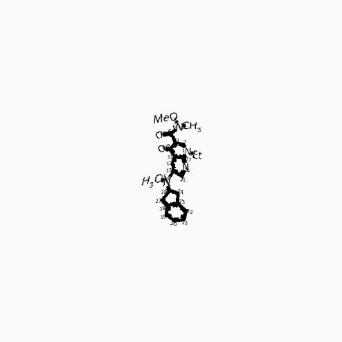 CCn1cc(C(=O)N(C)OC)c(=O)c2cc(N(C)C3Cc4ccccc4C3)cnc21